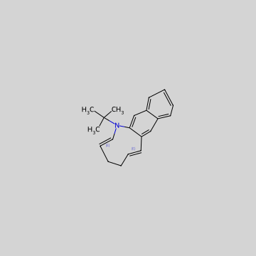 CC(C)(C)N1/C=C/CC/C=C/c2cc3ccccc3cc21